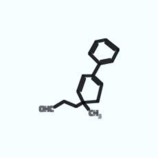 CC1(CCC=O)C=CC(c2ccccc2)=CC1